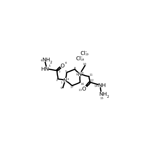 C[N+]1(CC(=O)NN)CC[N+](C)(CC(=O)NN)CC1.[Cl-].[Cl-]